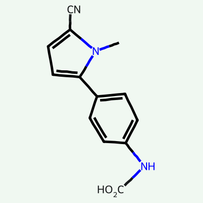 Cn1c(C#N)ccc1-c1ccc(NC(=O)O)cc1